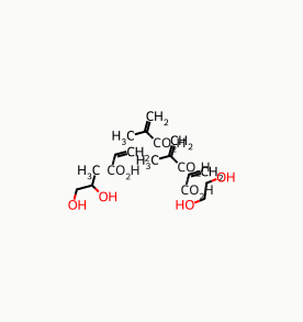 C=C(C)C(=O)O.C=C(C)C(=O)O.C=CC(=O)O.C=CC(=O)O.CC(O)CO.OCCO